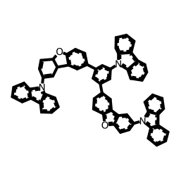 C1=CC2Oc3ccc(-c4cc(-c5ccc6oc7ccc(-n8c9ccccc9c9ccccc98)cc7c6c5)cc(-n5c6ccccc6c6ccccc65)c4)cc3C2C=C1n1c2ccccc2c2ccccc21